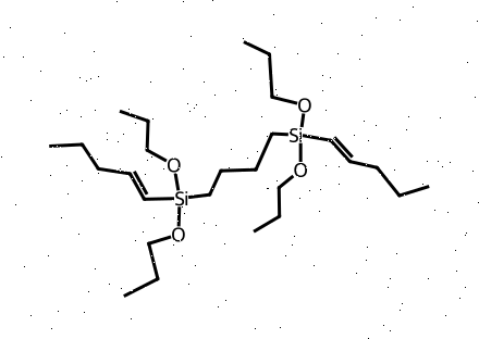 CCCC=C[Si](CCCC[Si](C=CCCC)(OCCC)OCCC)(OCCC)OCCC